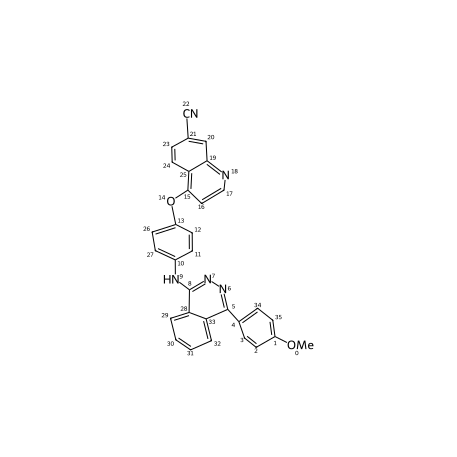 COc1ccc(-c2nnc(Nc3ccc(Oc4ccnc5cc(C#N)ccc45)cc3)c3ccccc23)cc1